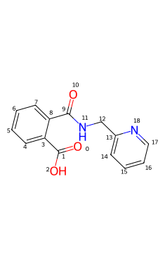 O=C(O)c1ccccc1C(=O)NCc1ccccn1